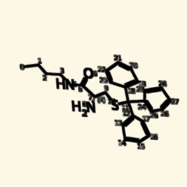 CCCCNC(=O)[C@@H](N)CSC(c1ccccc1)(c1ccccc1)c1ccccc1